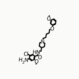 COc1cccc(OCCCCCN2CCC(CNC(=O)c3cc(Cl)c(N)cc3OC)CC2)c1